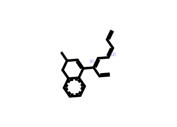 C=C/C=C\C=C(/C=C)C1=CC(C)Cc2ccccc21